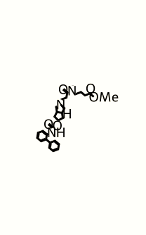 COC(=O)CCCN(C)C(=O)CCN1CC2CC(OC(=O)Nc3ccccc3-c3ccccc3)C[C@H]2C1